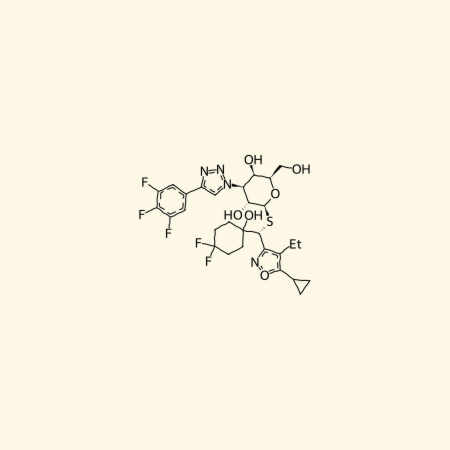 CCc1c([C@@H](S[C@@H]2O[C@H](CO)[C@H](O)[C@H](n3cc(-c4cc(F)c(F)c(F)c4)nn3)[C@H]2O)C2(O)CCC(F)(F)CC2)noc1C1CC1